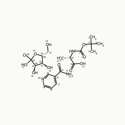 C[C@H](NC(=O)OC(C)(C)C)C(=O)O.NC(=O)c1cccnc1.OC[C@H]1OC(O)(Cl)[C@H](O)[C@@H]1O